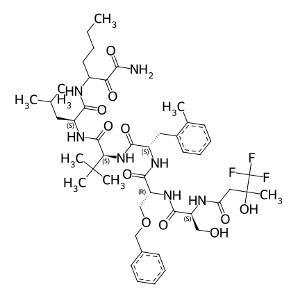 CCCCC(NC(=O)[C@H](CC(C)C)NC(=O)[C@@H](NC(=O)[C@H](Cc1ccccc1C)NC(=O)[C@@H](COCc1ccccc1)NC(=O)[C@H](CO)NC(=O)CC(C)(O)C(F)(F)F)C(C)(C)C)C(=O)C(N)=O